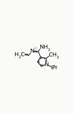 C=C/N=C(/N)c1ccn(C(C)C)c1C